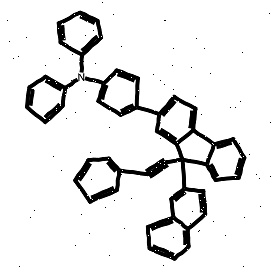 C(#CC1(c2ccc3ccccc3c2)c2ccccc2-c2ccc(-c3ccc(N(c4ccccc4)c4ccccc4)cc3)cc21)c1ccccc1